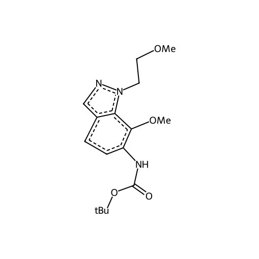 COCCn1ncc2ccc(NC(=O)OC(C)(C)C)c(OC)c21